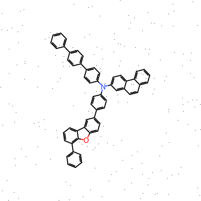 c1ccc(-c2ccc(-c3ccc(N(c4ccc(-c5ccc6oc7c(-c8ccccc8)cccc7c6c5)cc4)c4ccc5c(ccc6ccccc65)c4)cc3)cc2)cc1